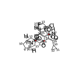 O=C(O)c1ccc(N2[C@@H]3CC[C@H]2C[C@@H](OC(=O)c2c(-c4c(Cl)cccc4Cl)noc2C2CC2)C3)cc1C(F)(F)F